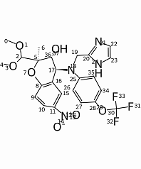 COC(OC)[C@]1(C)Oc2ccc([N+](=O)[O-])cc2[C@H](N(Cc2ncc[nH]2)c2ccc(OC(F)(F)F)cc2)[C@H]1O